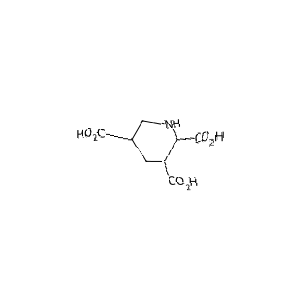 O=C(O)C1CNC(C(=O)O)C(C(=O)O)C1